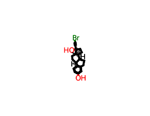 C[C@]12CC[C@@H]3c4ccc(O)cc4CC[C@H]3[C@@H]1CC[C@@]2(O)C#CBr